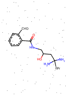 CCCC(N)(N)CC(O)CNC(=O)c1ccccc1C=O